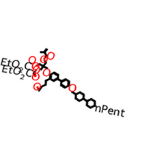 C=C(C)C(=O)OCC(COC(=O)C(=O)OCC)(COC(=O)C(=O)OCC)COc1ccc(-c2ccc(OCC3CCC(C4CCC(CCCCC)CC4)CC3)cc2)cc1CCC1CO1